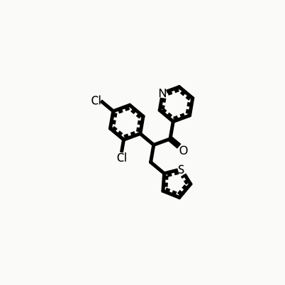 O=C(c1cccnc1)C(Cc1cccs1)c1ccc(Cl)cc1Cl